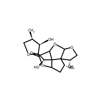 C[C@@H]1COC([C@H](O)C23C4C[C@@H](C(C)(C)C)C25C(OC[C@@H]5O)OC3C(=O)O4)[C@@H]1O